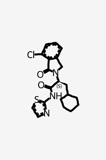 O=C(Nc1nccs1)[C@H](CC1CCCCC1)N1Cc2cccc(Cl)c2C1=O